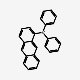 c1ccc([S+](c2ccccc2)c2cccc3cc4ccccc4cc23)cc1